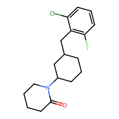 O=C1CCCCN1C1CCCC(Cc2c(F)cccc2Cl)C1